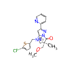 COCC(C)(C)C(=O)n1nc(-c2ccccn2)cc1NCc1ccc(Cl)s1